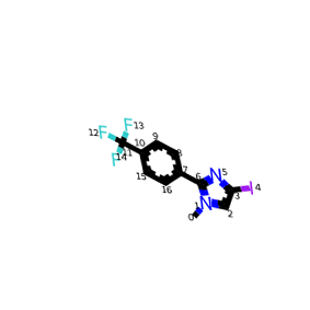 Cn1cc(I)nc1-c1ccc(C(F)(F)F)cc1